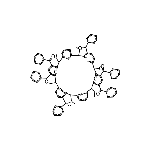 CCC1c2cccc(c2)C(CC)c2cc(c(C(=O)c3ccccc3)cc2C(=O)c2ccccc2)C(CC)c2ccc(C(=O)c3ccccc3)c(c2)C(CC)c2cccc(c2)C(CC)c2cc(c(C(=O)c3ccccc3)cc2C(=O)c2ccccc2)C(CC)c2ccc(C(=O)c3ccccc3)c1c2